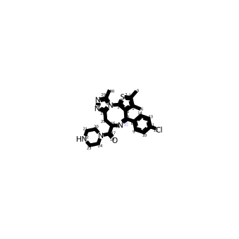 Cc1sc2c(c1C)/C(c1ccc(Cl)cc1)=N\C(C(=O)N1CCNCC1)Cc1nnc(C)n1-2